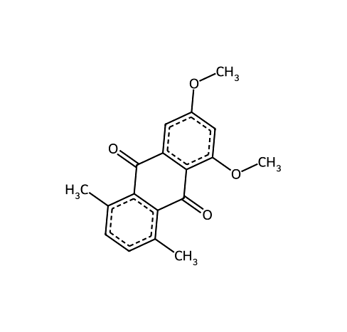 COc1cc(OC)c2c(c1)C(=O)c1c(C)ccc(C)c1C2=O